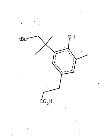 Cc1cc(CCC(=O)O)cc(C(C)(C)CC(C)(C)C)c1O